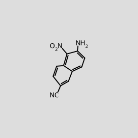 N#Cc1ccc2c([N+](=O)[O-])c(N)ccc2c1